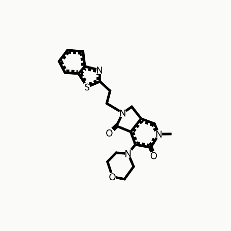 Cn1cc2c(c(N3CCOCC3)c1=O)C(=O)N(CCc1nc3ccccc3s1)C2